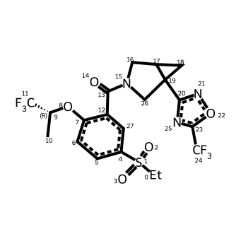 CCS(=O)(=O)c1ccc(O[C@H](C)C(F)(F)F)c(C(=O)N2CC3CC3(c3noc(C(F)(F)F)n3)C2)c1